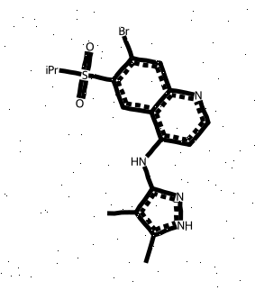 Cc1[nH]nc(Nc2ccnc3cc(Br)c(S(=O)(=O)C(C)C)cc23)c1C